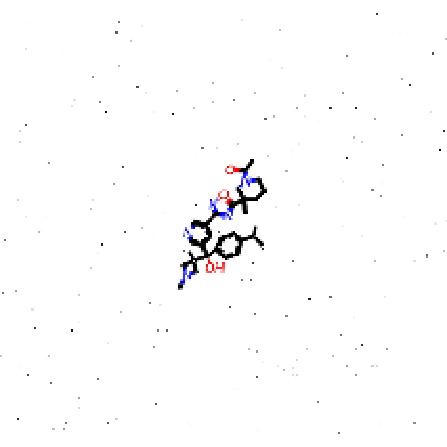 CC(=O)N1CCCC(C)(c2nc(-c3cncc([C@@](O)(c4ccc(C(C)C)cc4)C4(C)CN(C)C4)c3)no2)C1